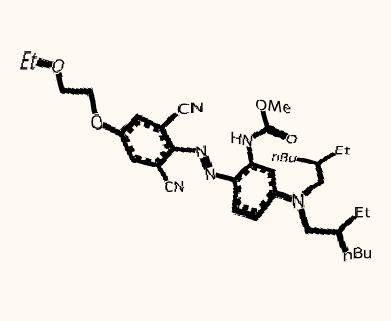 CCCCC(CC)CN(CC(CC)CCCC)c1ccc(N=Nc2c(C#N)cc(OCCOCC)cc2C#N)c(NC(=O)OC)c1